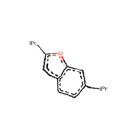 CC(C)c1ccc2cc(C(C)C)oc2c1